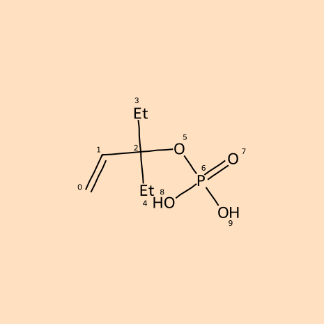 C=CC(CC)(CC)OP(=O)(O)O